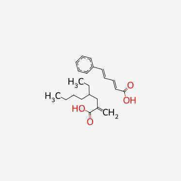 C=C(CC(CC)CCCC)C(=O)O.O=C(O)C=CC=Cc1ccccc1